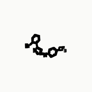 FC(F)(F)c1ccc(N=S2C=NC(c3ccccc3Br)=C2)cc1